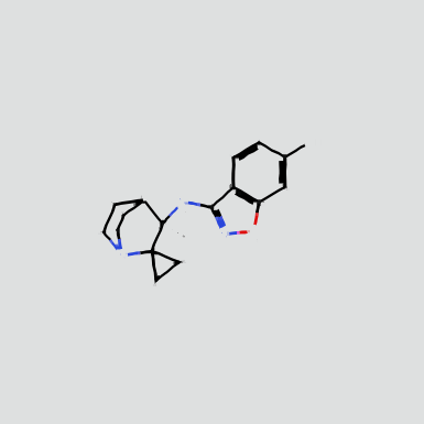 Cc1ccc2c(N[C@@H]3C4CCN(CC4)C34CC4)noc2c1